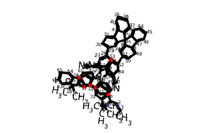 C/C=C\C(=C/C)c1ccc2c(c1)c1cc(C(C)(C)C)ccc1n2-c1c(C#N)cc(-c2ccc3c(c2)C2(c4ccccc4-3)c3ccccc3-c3ccc(-c4cc(C#N)c(-n5c6ccc(-c7ccccc7)cc6c6cc(C(C)(C)C)ccc65)c(C#N)c4)cc32)cc1C#N